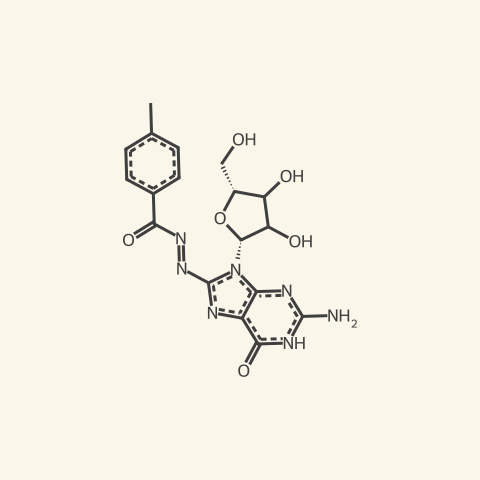 Cc1ccc(C(=O)N=Nc2nc3c(=O)[nH]c(N)nc3n2[C@@H]2O[C@H](CO)C(O)C2O)cc1